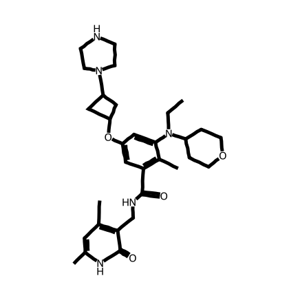 CCN(c1cc(OC2CC(N3CCNCC3)C2)cc(C(=O)NCc2c(C)cc(C)[nH]c2=O)c1C)C1CCOCC1